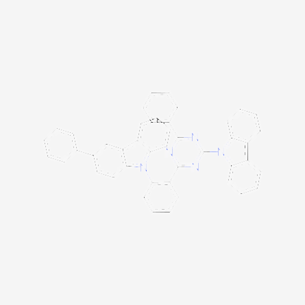 c1ccc(-c2ccc3c(c2)c2ccccc2n3-c2ccccc2-c2nc(-c3ccccc3)nc(-n3c4ccccc4c4ccccc43)n2)cc1